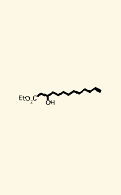 C=CCCCCCCCCC(O)CC(=O)OCC